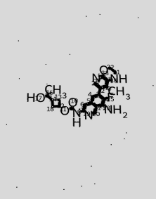 Cc1c(-c2cc3cc(NC(=O)O[C@H]4C[C@H]([C@@H](C)O)C4)ncc3c(N)c2F)cnc2c1NCCO2